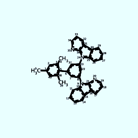 Cc1cc(C)c(-c2cc(-n3c4ccccc4c4cccnc43)cc(-n3c4ccccc4c4cccnc43)c2)c(C)c1